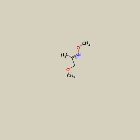 COC/C(C)=N/OC